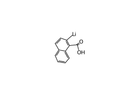 [Li][c]1ccc2ccccc2c1C(=O)O